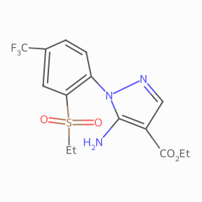 CCOC(=O)c1cnn(-c2ccc(C(F)(F)F)cc2S(=O)(=O)CC)c1N